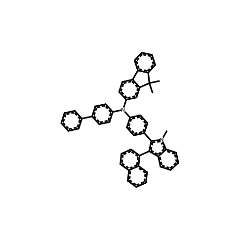 Cn1c(-c2ccc(N(c3ccc(-c4ccccc4)cc3)c3ccc4c(c3)C(C)(C)c3ccccc3-4)cc2)c(-c2cccc3ccccc23)c2ccccc21